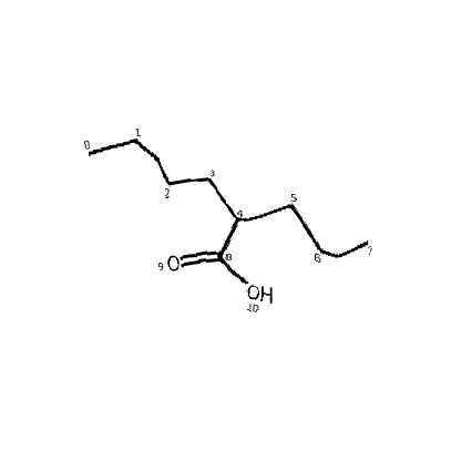 CCCCC(CCC)C(=O)O